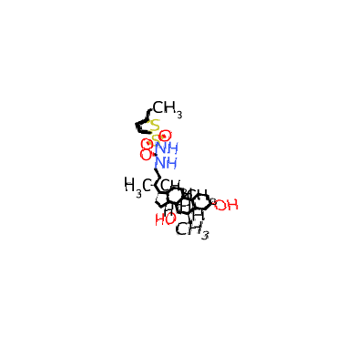 CCc1ccc(S(=O)(=O)NC(=O)NCC[C@@H](C)[C@H]2CC[C@H]3[C@@H]4[C@H](O)[C@H](CC)[C@@H]5C[C@H](O)CC[C@]5(C)[C@H]4CC[C@]23C)s1